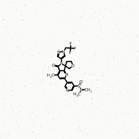 Cc1cc(-c2cncc([S+]([O-])N(C)C)c2)nc2c1C(=O)N(c1cnn(CC(F)(F)F)c1)C21CCOC1